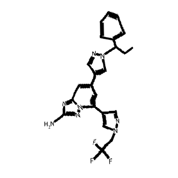 CCC(c1ccccc1)n1cc(-c2cc(-c3cnn(CC(F)(F)F)c3)n3nc(N)nc3c2)cn1